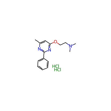 Cc1cc(OCCN(C)C)nc(-c2ccccc2)n1.Cl.Cl